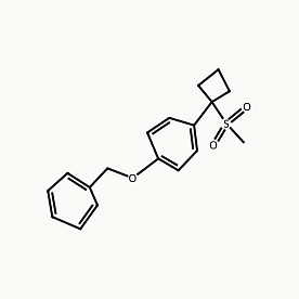 CS(=O)(=O)C1(c2ccc(OCc3ccccc3)cc2)CCC1